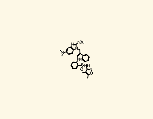 CCCCc1nc2cc(N(C)C)ccc2n1Cc1cn(-c2ccccc2S(=O)(=O)Nc2noc(C)c2C)c2ccccc12